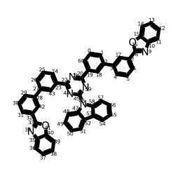 c1cc(-c2cccc(-c3nc4ccccc4o3)c2)cc(-c2nc(-c3cccc(-c4cccc(-c5nc6ccccc6o5)c4)c3)nc(-n3c4ccccc4c4ccccc43)n2)c1